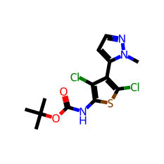 Cn1nccc1-c1c(Cl)sc(NC(=O)OC(C)(C)C)c1Cl